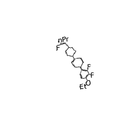 CCC/C(F)=C/C1CCC(C2=CCC(c3ccc(OCC)c(F)c3F)CC2)CC1